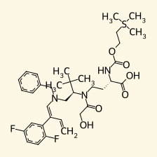 C=C/C(=C\N(Cc1ccccc1)C[C@H](N(CC[C@H](NC(=O)OCCS(C)(C)C)C(=O)O)C(=O)CO)C(C)(C)C)c1cc(F)ccc1F